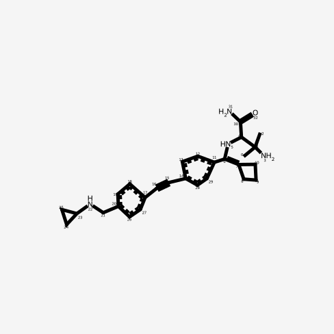 CC(C)(N)C(NC(=C1CCC1)c1ccc(C#Cc2ccc(CNC3CC3)cc2)cc1)C(N)=O